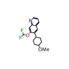 COC1CCC(c2cc3cccnc3cc2OC(F)F)CC1